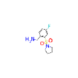 NCc1ccc(F)cc1S(=O)(=O)N1CCCC1